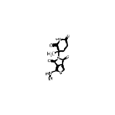 CCNc1scc2c1C(=O)N([C@@]1(C)CCC(=O)NC1=O)C2=O